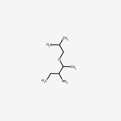 CCC(N)C(C)OCC(C)N